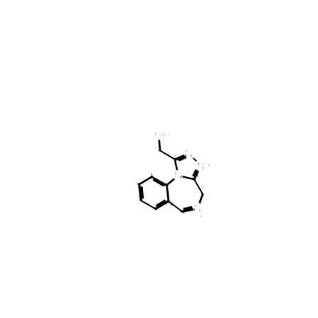 OCc1nnc2n1-c1ccccc1C=NC2